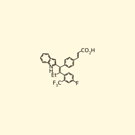 CC/C(=C(/c1ccc(/C=C/C(=O)O)cc1)c1cc2ccccc2[nH]1)c1ccc(F)cc1C(F)(F)F